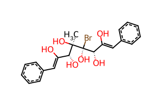 C[C@@](O)([C@H](O)C(O)=Cc1ccccc1)[C@@](O)(Br)[C@@H](O)C(O)=Cc1ccccc1